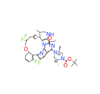 CC(C)C1=C2C(CCC(F)(F)COC3CC=CC(F)=C3c3nc4c(cc3F)c(N3C[C@@H](C)N(C(=O)OC(C)(C)C)C[C@@H]3C)nc(=O)n42)C(C)CN1